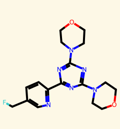 FCc1ccc(-c2nc(N3CCOCC3)nc(N3CCOCC3)n2)nc1